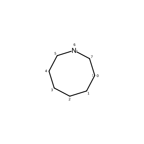 [C]1CCCCC[N]C1